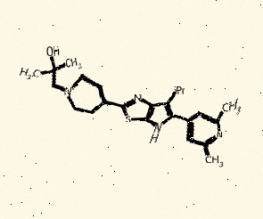 Cc1cc(-c2[nH]c3sc(C4CCN(CC(C)(C)O)CC4)nc3c2C(C)C)cc(C)n1